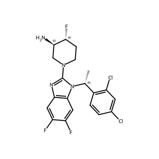 C[C@H](c1ccc(Cl)cc1Cl)n1c(N2CC[C@@H](F)[C@H](N)C2)nc2cc(F)c(F)cc21